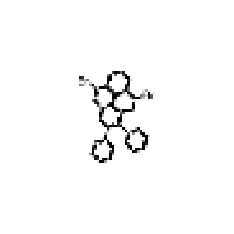 Brc1cc2cc(-c3ccccc3)c(-c3ccccc3)c3cc(Br)c4cccc1c4c23